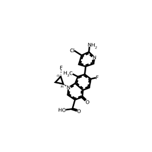 Cc1c(-c2cnc(N)c(Cl)c2)c(F)cc2c(=O)c(C(=O)O)cn([C@@H]3C[C@@H]3F)c12